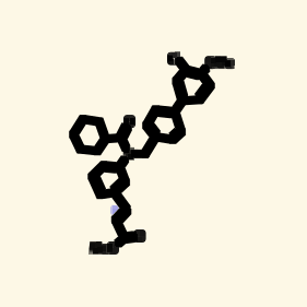 COC(=O)/C=C/c1cccc(N(Cc2ccc(-c3ccc(OC)c(Cl)c3)cc2)C(=O)C2CCCCC2)c1